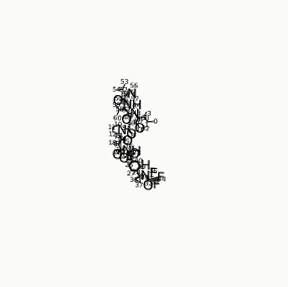 CC[C@H](C)[C@@H]([C@@H](CC(=O)N1CCC[C@H]1[C@H](OC)[C@@H](C)C(=O)NS(=O)(=O)c1ccc(C2(NC(=O)C(F)(F)F)CC2)cc1)OC)N(C)C(=O)[C@@H](NC(=O)[C@H](C(C)C)N(C)C)C(C)C